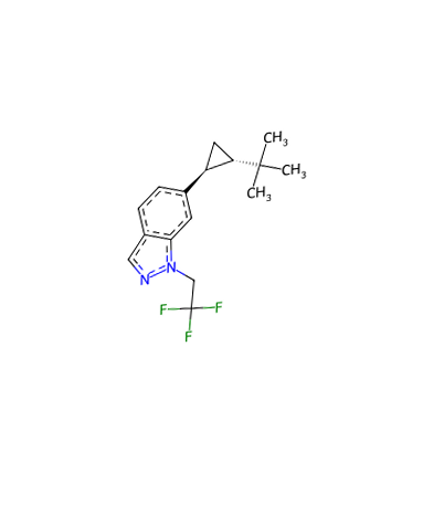 CC(C)(C)[C@H]1C[C@@H]1c1ccc2cnn(CC(F)(F)F)c2c1